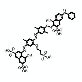 Cc1cc(N=Nc2c(S(=O)(=O)O)cc3cc(Nc4ccccc4)ccc3c2O)c(C)cc1N=Nc1cc(C)c(N=Nc2cc(S(=O)(=O)O)cc3cc(S(=O)(=O)O)cc(O)c23)cc1OCCCS(=O)(=O)O